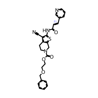 N#Cc1c(NC(=O)/C=C/c2cccnc2)sc2c1CCN(C(=O)OCCOCc1ccccc1)C2